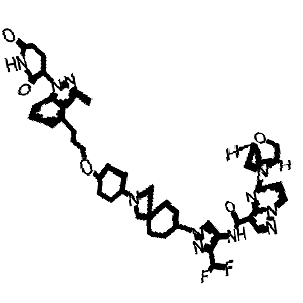 Cc1nn(C2CCC(=O)NC2=O)c2cccc(CCCOC3CCC(N4CC5(CCC(n6cc(NC(=O)c7cnn8ccc(N9C[C@H]%10C[C@@H]9CO%10)nc78)c(C(F)F)n6)CC5)C4)CC3)c12